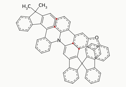 CC1(C)C2=C(C(c3ccccc3N(C3=CC4=C(CC3)C3(c5ccccc54)c4ccccc4-c4ccccc43)c3ccccc3-c3ccc4c(c3)oc3ccccc34)=C=C=C2)c2ccccc21